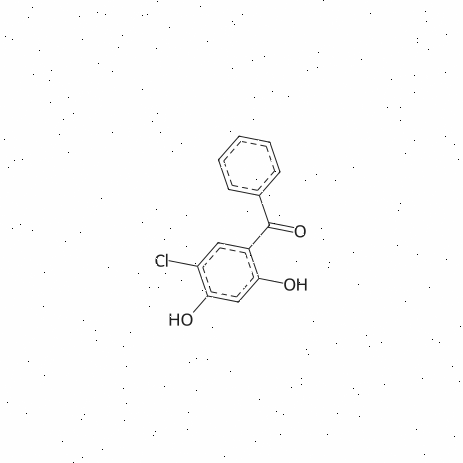 O=C(c1ccccc1)c1cc(Cl)c(O)cc1O